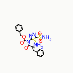 N[C@@H](Cc1ccccc1)C(=O)N(C(=O)OCc1ccccc1)c1nnc(S(N)(=O)=O)s1